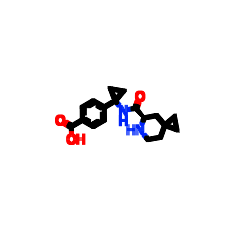 O=C(O)c1ccc(C2(NC(=O)[C@H]3CC4(CCN3)CC4)CC2)cc1